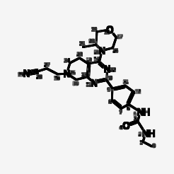 CCNC(=O)Nc1ccc(-c2nc3c(c(N4CCOCC4C)n2)CCN(CCC#N)C3)cc1